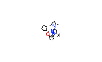 Cc1ccc(C)n1-c1cc(C(C)(C)C)n([C@H]2CCC[C@H]2OCc2ccccc2)n1